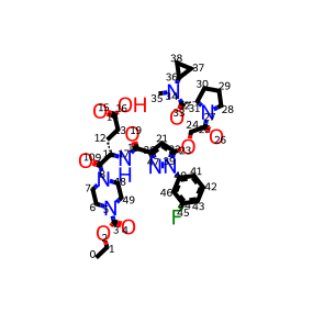 CCOC(=O)N1CCN(C(=O)[C@H](CCC(=O)O)NC(=O)c2cc(OCC(=O)N3CCC[C@H]3C(=O)N(C)C3CC3)n(-c3cccc(F)c3)n2)CC1